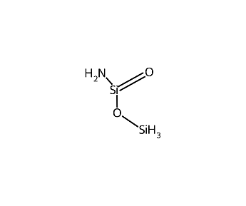 N[Si](=O)O[SiH3]